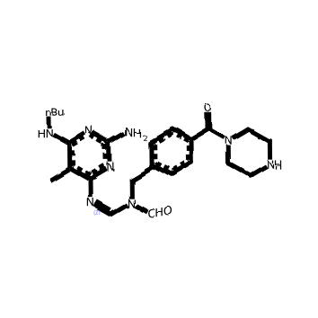 CCCCNc1nc(N)nc(/N=C\N(C=O)Cc2ccc(C(=O)N3CCNCC3)cc2)c1C